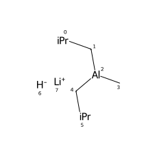 CC(C)[CH2][Al]([CH3])[CH2]C(C)C.[H-].[Li+]